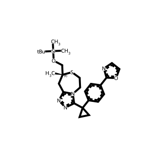 CC(C)(C)[Si](C)(C)OC[C@@]1(C)Cc2nnc(C3(c4ccc(-c5ncco5)cc4)CC3)n2CCS1